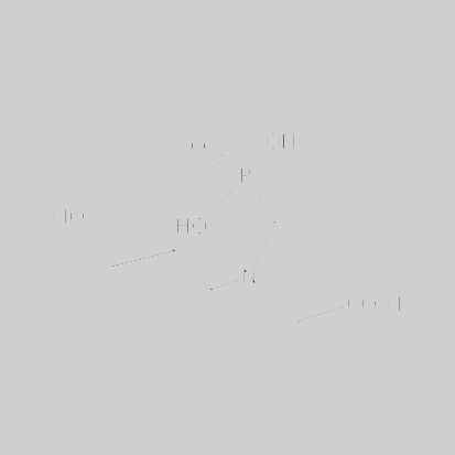 O=C(O)CN(CCCO)CP(=O)(O)O